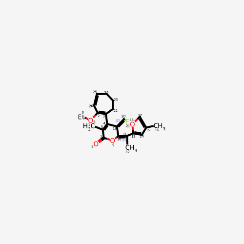 CCOC1=C(c2c(C)c(=O)oc(=C(\C)c3cc(C)co3)/c2=C\F)CCCC=C1